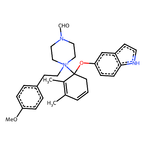 COc1ccc(CC[N+]2(C3(Oc4ccc5[nH]ccc5c4)CC=CC(C)=C3C)CCN(C=O)CC2)cc1